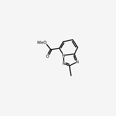 COC(=O)c1cccc2nc(C)nn12